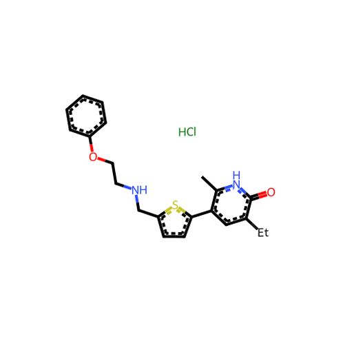 CCc1cc(-c2ccc(CNCCOc3ccccc3)s2)c(C)[nH]c1=O.Cl